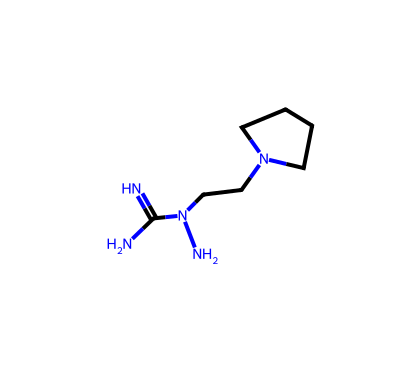 N=C(N)N(N)CCN1CCCC1